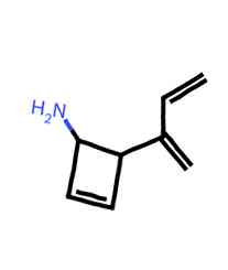 C=CC(=C)C1C=CC1N